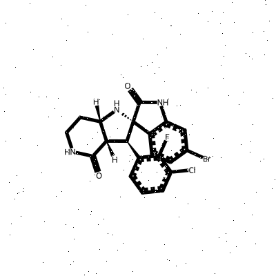 O=C1NCC[C@@H]2N[C@@]3(C(=O)Nc4cc(Br)ccc43)[C@@H](c3cccc(Cl)c3F)[C@H]12